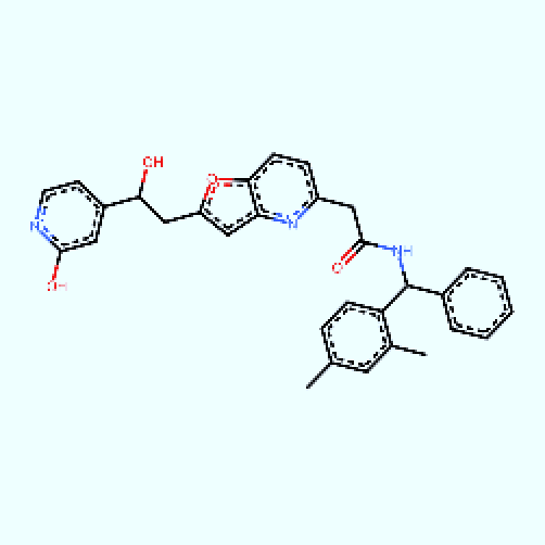 Cc1ccc(C(NC(=O)Cc2ccc3oc(CC(O)c4ccnc(O)c4)cc3n2)c2ccccc2)c(C)c1